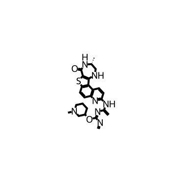 C=N/C(=N\C(=C)Nc1ccc2c(ccc3sc4c(c32)NC[C@@H](C)NC4=O)n1)OC1CCCN(C)C1